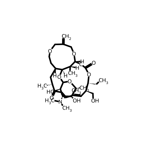 C=C1COCC[C@H]2C[C@@H](C)C(=O)/C=C/C(C)=C/[C@H](CO)[C@@H](CC)OC(=O)C[C@@H](OC1)[C@H](C)[C@H]2OC1O[C@H](C)[C@@H](O)[C@H](N(C)C)[C@H]1O